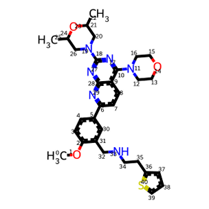 COc1ccc(-c2ccc3c(N4CCOCC4)nc(N4CC(C)OC(C)C4)nc3n2)cc1CNCCc1cccs1